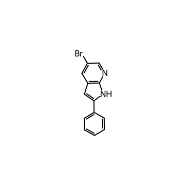 Brc1cnc2[nH]c(-c3ccccc3)cc2c1